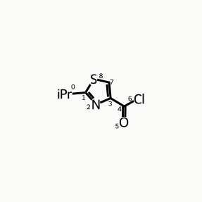 CC(C)c1nc(C(=O)Cl)cs1